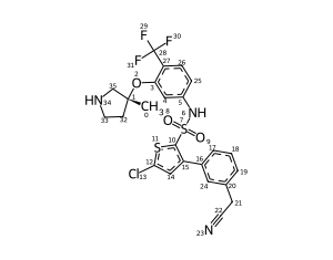 C[C@@]1(Oc2cc(NS(=O)(=O)c3sc(Cl)cc3-c3cccc(CC#N)c3)ccc2C(F)(F)F)CCNC1